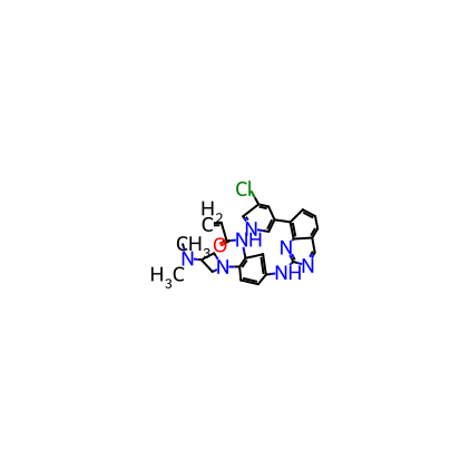 C=CC(=O)Nc1cc(Nc2ncc3cccc(-c4cncc(Cl)c4)c3n2)ccc1N1CC(N(C)C)C1